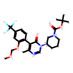 COCOc1cc(C(F)(F)F)ccc1-c1c(C)ncn([C@@H]2CCCN(C(=O)OC(C)(C)C)C2)c1=O